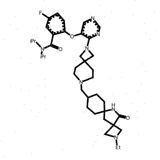 CCN1CC2(C1)CC1(CCC(CN3CCC4(CC3)CN(c3ncncc3Oc3ccc(F)cc3C(=O)N(C(C)C)C(C)C)C4)CC1)NC2=O